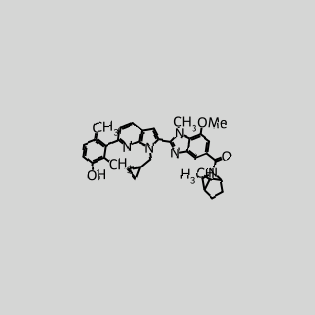 COc1cc(C(=O)N2CC3CCC2[C@@H]3C)cc2nc(-c3cc4ccc(-c5c(C)ccc(O)c5C)nc4n3CC3CC3)n(C)c12